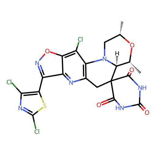 C[C@H]1CN2c3c(nc4c(-c5sc(Cl)nc5Cl)noc4c3Cl)CC3(C(=O)NC(=O)NC3=O)[C@@H]2[C@@H](C)O1